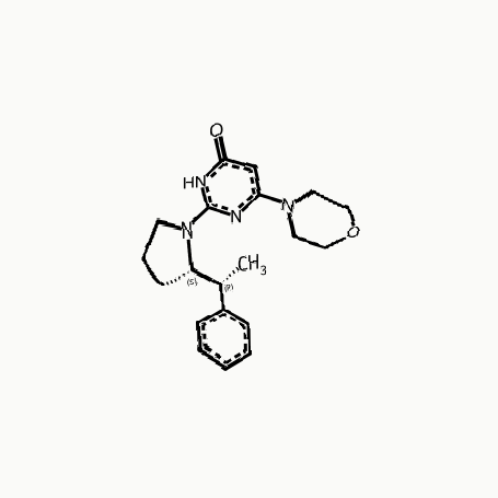 C[C@H](c1ccccc1)[C@@H]1CCCN1c1nc(N2CCOCC2)cc(=O)[nH]1